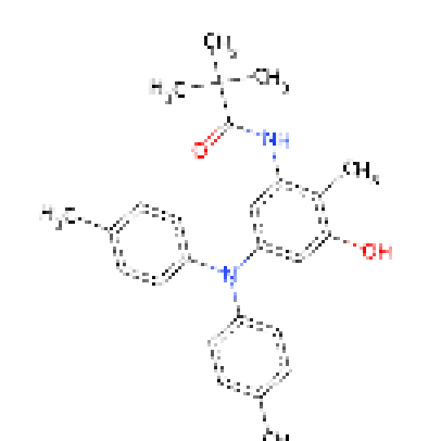 Cc1ccc(N(c2ccc(C)cc2)c2cc(O)c(C)c(NC(=O)C(C)(C)C)c2)cc1